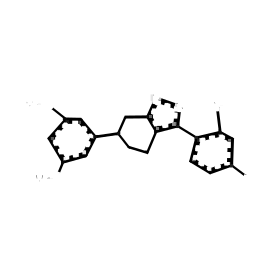 COc1cc(OC)cc(C2CCc3c(-c4ccc(F)cc4[N+](=O)[O-])n[nH]c3C2)c1